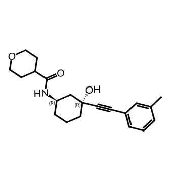 Cc1cccc(C#C[C@@]2(O)CCC[C@@H](NC(=O)C3CCOCC3)C2)c1